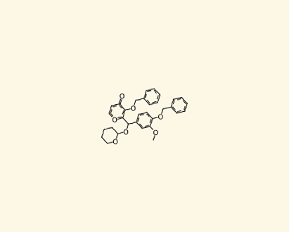 COc1cc(C(OC2CCCCO2)c2occc(=O)c2OCc2ccccc2)ccc1OCc1ccccc1